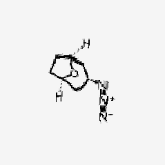 [N-]=[N+]=N[C@H]1C[C@H]2CC[C@@H](C1)O2